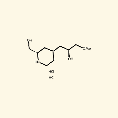 COC[C@@H](O)CN1CCN[C@H](CO)C1.Cl.Cl